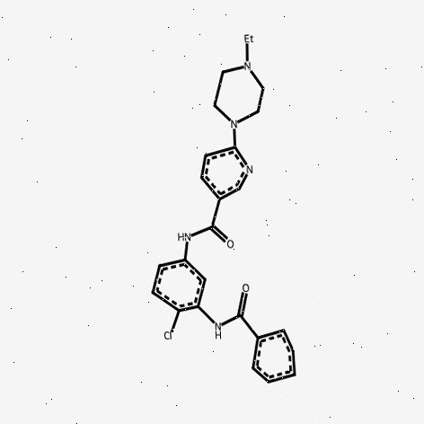 CCN1CCN(c2ccc(C(=O)Nc3ccc(Cl)c(NC(=O)c4ccccc4)c3)cn2)CC1